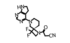 N#CCC(=O)N1CC(F)(F)[C@@]12CCCN(c1ncnc3c1CCN3)C2